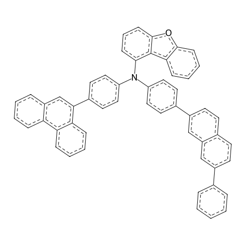 c1ccc(-c2ccc3ccc(-c4ccc(N(c5ccc(-c6cc7ccccc7c7ccccc67)cc5)c5cccc6oc7ccccc7c56)cc4)cc3c2)cc1